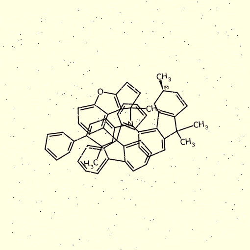 CC1CC(N(c2cccc3c2C2=C(C=C[C@H](C)C2)C3(C)C)C2(C)C=Cc3oc4cccc(C5(c6ccccc6)c6ccccc6-c6ccccc65)c4c32)=CC=C1c1ccccc1